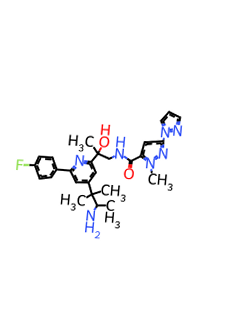 CC(N)C(C)(C)c1cc(-c2ccc(F)cc2)nc(C(C)(O)CNC(=O)c2cc(-n3cccn3)nn2C)c1